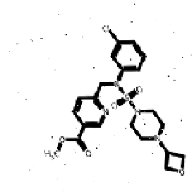 COC(=O)c1ccc(CN(c2cccc(Cl)c2)S(=O)(=O)N2CCN(C3COC3)CC2)nc1